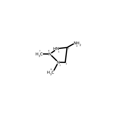 CN1CC(N)NN1C